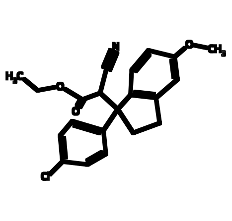 CCOC(=O)C(C#N)C1(c2ccc(Cl)cc2)CCc2cc(OC)ccc21